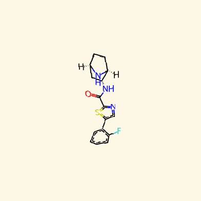 O=C(N[C@@H]1C[C@H]2CC[C@@H]1N2)c1ncc(-c2ccccc2F)s1